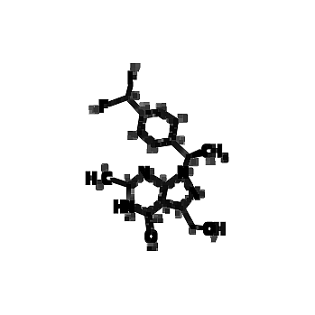 Cc1nc2c(c(CO)nn2[C@H](C)c2ccc(C(F)F)cc2)c(=O)[nH]1